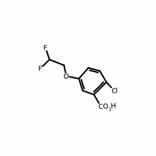 O=C(O)c1cc(OCC(F)F)ccc1Cl